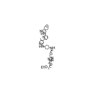 CCOC(=O)O[C@H](C)n1nnc(COC[C@@H](C)N[C@H]2CC[C@H](Nc3cc(-c4cccc(NCC5(C#N)CCOCC5)n4)c(C)cn3)CC2)n1